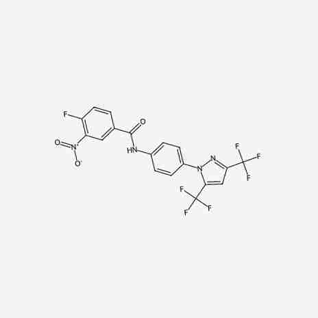 O=C(Nc1ccc(-n2nc(C(F)(F)F)cc2C(F)(F)F)cc1)c1ccc(F)c([N+](=O)[O-])c1